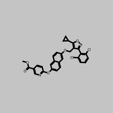 COC(=O)c1ccc(Oc2ccc3cc(OCc4c(-c5c(Cl)cccc5Cl)noc4C4CC4)ccc3c2)nc1